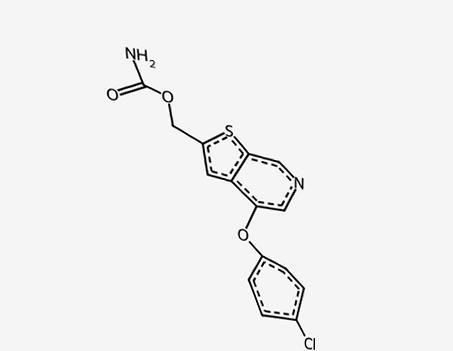 NC(=O)OCc1cc2c(Oc3ccc(Cl)cc3)cncc2s1